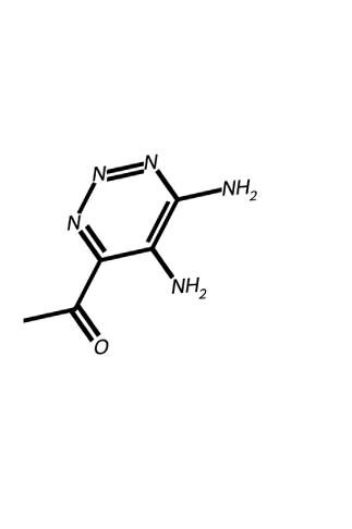 CC(=O)c1nnnc(N)c1N